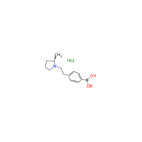 C[C@@H]1CCCN1CCc1ccc(B(O)O)cc1.Cl